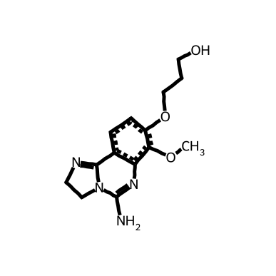 COc1c(OCCCO)ccc2c1N=C(N)N1CCN=C21